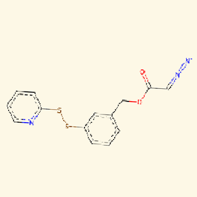 [N-]=[N+]=CC(=O)OCc1cccc(SSc2ccccn2)c1